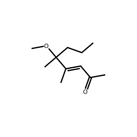 CCCC(C)(OC)C(C)=CC(C)=O